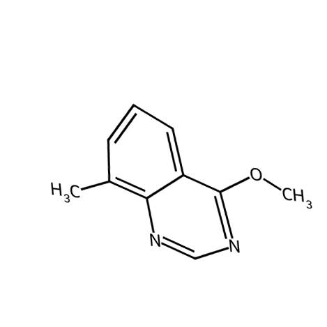 COc1ncnc2c(C)cccc12